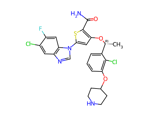 C[C@@H](Oc1cc(-n2cnc3cc(Cl)c(F)cc32)sc1C(N)=O)c1cccc(OC2CCNCC2)c1Cl